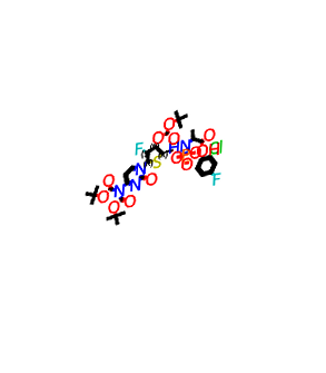 CC(NP(=O)(OC[C@H]1S[C@@H](n2ccc(N(C(=O)OC(C)(C)C)C(=O)OC(C)(C)C)nc2=O)[C@@H](F)[C@@H]1OC(=O)OC(C)(C)C)Oc1ccc(F)cc1Cl)C(=O)O